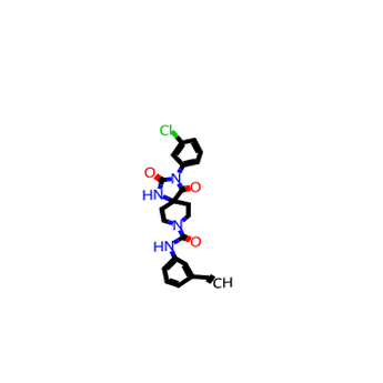 C#Cc1cccc(NC(=O)N2CCC3(CC2)NC(=O)N(c2cccc(Cl)c2)C3=O)c1